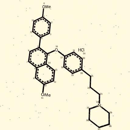 COc1ccc(-c2ccc3cc(OC)ccc3c2Oc2ccc(CCCN3CCCCC3)cc2)cc1.Cl